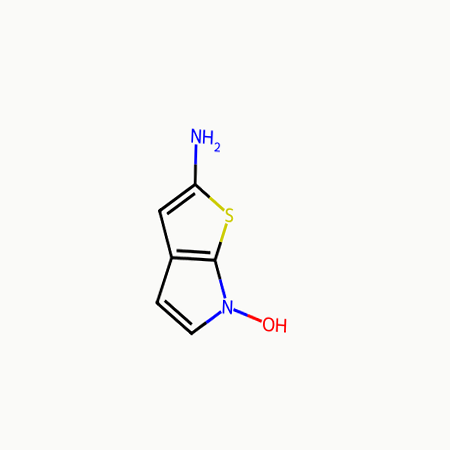 Nc1cc2ccn(O)c2s1